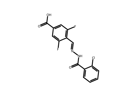 O=C(O)c1cc(F)c(C=NNC(=O)c2ccccc2Cl)c(F)c1